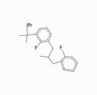 CC(Cc1ccccc1F)Cc1cccc(C(C)(C)C(C)C)c1F